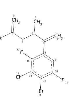 C=C(CC)CC(C)C(=C)c1cc(F)c(CC)c(Cl)c1F